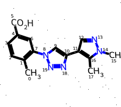 Cc1ccc(C(=O)O)cc1-n1cc(-c2cnn(C)c2C)nn1